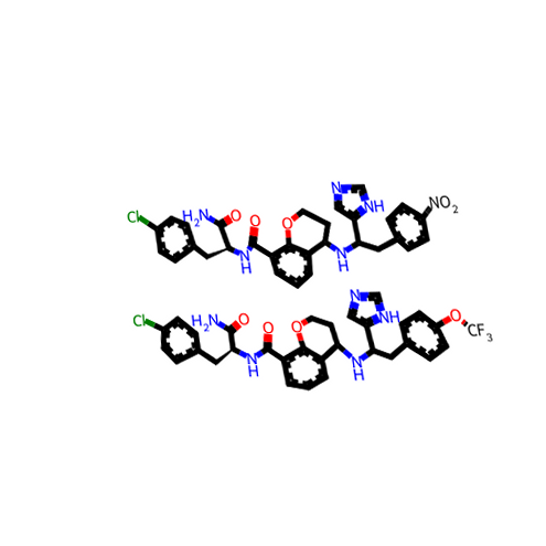 NC(=O)[C@H](Cc1ccc(Cl)cc1)NC(=O)c1cccc2c1OCCC2NC(Cc1ccc(OC(F)(F)F)cc1)c1cnc[nH]1.NC(=O)[C@H](Cc1ccc(Cl)cc1)NC(=O)c1cccc2c1OCCC2NC(Cc1ccc([N+](=O)[O-])cc1)c1cnc[nH]1